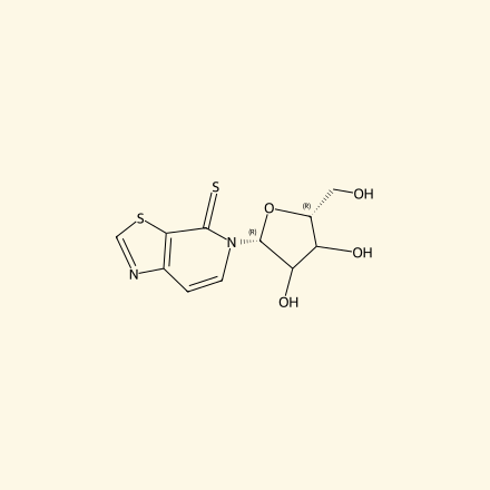 OC[C@H]1O[C@@H](n2ccc3ncsc3c2=S)C(O)C1O